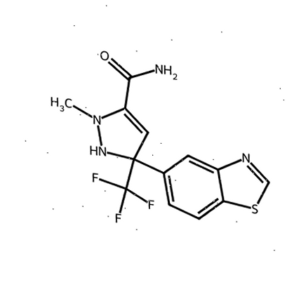 CN1NC(c2ccc3scnc3c2)(C(F)(F)F)C=C1C(N)=O